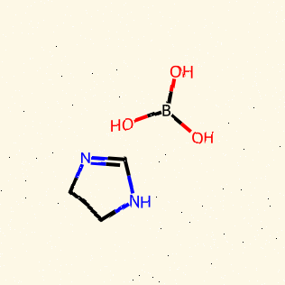 C1=NCCN1.OB(O)O